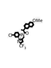 COc1ccc2cc(C(C)C(=O)NCc3cc(C(F)(F)F)nn3-c3cccc(Cl)c3)ccc2c1